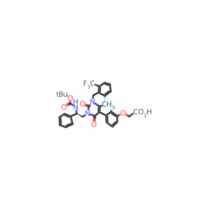 Cc1c(-c2cccc(OCC(=O)O)c2F)c(=O)n(C[C@H](NC(=O)OC(C)(C)C)c2ccccc2)c(=O)n1Cc1c(F)cccc1C(F)(F)F